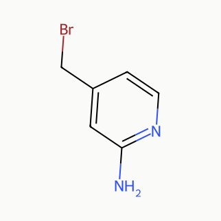 Nc1cc(CBr)ccn1